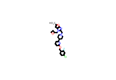 O=C(O)c1cc2c(nc(CN3CCC(c4cccc(OCc5ccc(Cl)cc5F)n4)CC3)n2CC2CCO2)o1